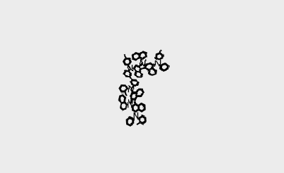 Cc1ccc(N(c2ccccc2)c2cc3c(c4ccccc24)c2c4ccccc4c(N(c4ccc(C)cc4)c4cccc(-c5cccc(N(c6ccccc6C)c6cc7c(c8ccccc68)c6c8ccccc8c(N(c8ccccc8)c8ccccc8C)cc6n7-c6cccc7ccccc67)c5)c4)cc2n3-c2cccc3ccccc23)cc1